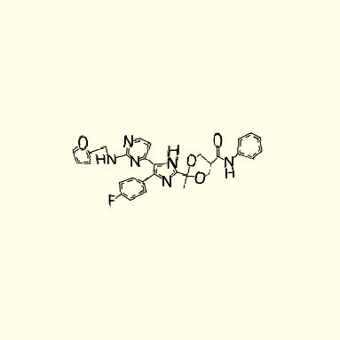 CC1(c2nc(-c3ccc(F)cc3)c(-c3ccnc(NCc4ccco4)n3)[nH]2)OCC(C(=O)Nc2ccccc2)CO1